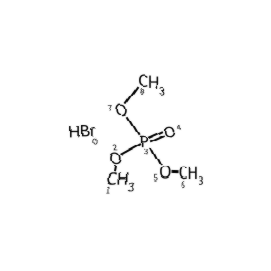 Br.COP(=O)(OC)OC